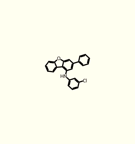 Clc1cccc(Nc2cc(-c3ccccc3)cc3oc4ccccc4c23)c1